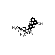 C=CC(=O)N1CCN(c2snc3c(F)c(-c4cc(O)cc5ccccc45)c(Cl)cc23)[C@H](C(=C)C)C1